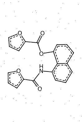 O=C(Nc1cccc2cccc(OC(=O)c3ccco3)c12)c1ccco1